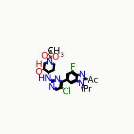 CC(=O)c1nc2c(F)cc(-c3nc(N[C@@H]4CCN(S(C)(=O)=O)C[C@H]4O)ncc3Cl)cc2n1C(C)C